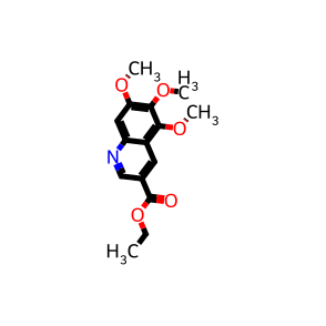 CCOC(=O)c1cnc2cc(OC)c(OC)c(OC)c2c1